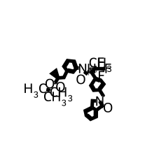 C[C@@H]([C@@H](C(=O)Nc1cccc(CC2(C(=O)OC(C)(C)C)CC2)c1)c1ccc(CN2Cc3ccccc3C2=O)cc1)C(F)(F)F